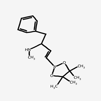 CNC(C=CB1OC(C)(C)C(C)(C)O1)Cc1ccccc1